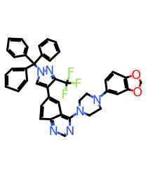 FC(F)(F)c1nn(C(c2ccccc2)(c2ccccc2)c2ccccc2)cc1-c1ccc2ncnc(N3CCN(c4ccc5c(c4)OCO5)CC3)c2c1